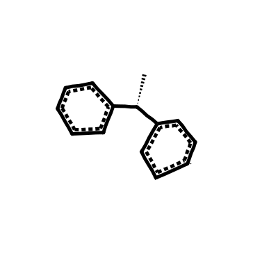 C[C@H](c1cc[c]cc1)c1ccccc1